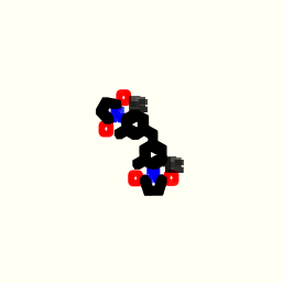 CCc1cc(Cc2cc(C)c(N3C(=O)CCC3=O)c(CC)c2)cc(C)c1N1C(=O)CCC1=O